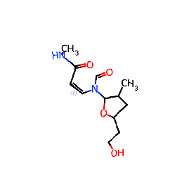 CNC(=O)/C=C\N(C=O)C1OC(CCO)CC1C